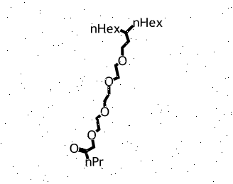 CCCCCCC(CCCCCC)CCOCCOCCOCCOCC(=O)CCC